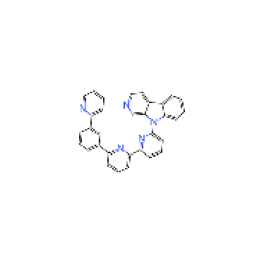 c1ccc(-c2cccc(-c3cccc(-c4cccc(-n5c6ccccc6c6ccncc65)n4)n3)c2)nc1